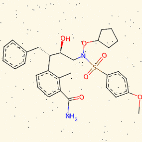 COc1ccc(S(=O)(=O)N(C[C@H](O)[C@@H](Cc2ccccc2)c2cccc(C(N)=O)c2C)OC2CCCC2)cc1